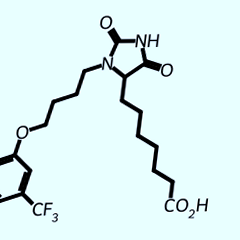 O=C(O)CCCCCCC1C(=O)NC(=O)N1CCCCOc1cccc(C(F)(F)F)c1